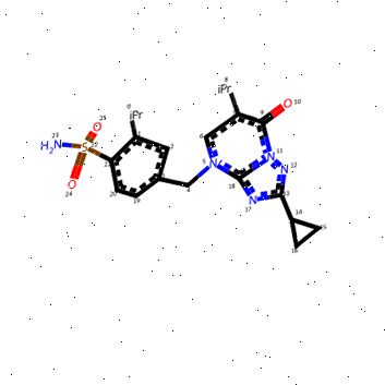 CC(C)c1cc(Cn2cc(C(C)C)c(=O)n3nc(C4CC4)nc23)ccc1S(N)(=O)=O